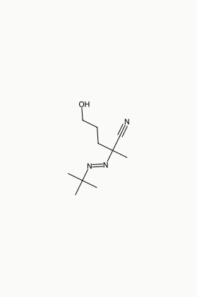 CC(C)(C)N=NC(C)(C#N)CCCO